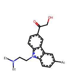 CCN(CC)CCn1c2ccc(C(C)=O)cc2c2cc(C(=O)CO)ccc21